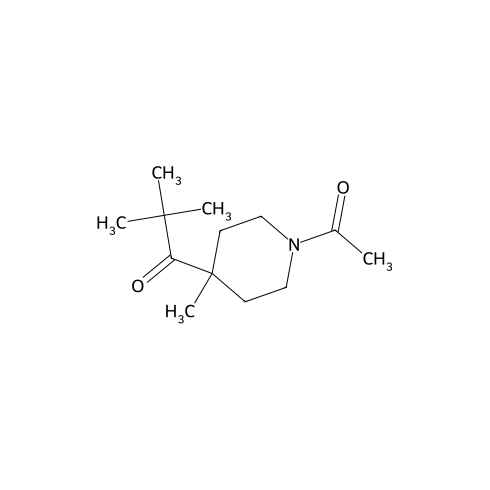 CC(=O)N1CCC(C)(C(=O)C(C)(C)C)CC1